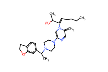 C=C1C=NC(N2CCN(C(C)c3ccc4c(c3)OCC4)CC2)=CN1/C(=C\CCCC)C(C)O